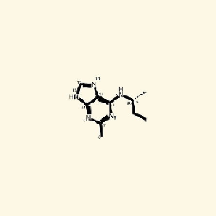 CC[C@@H](C)Nc1nc(C)nc2[nH]cnc12